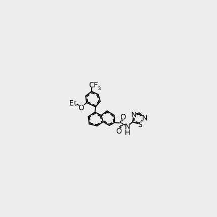 CCOc1cc(C(F)(F)F)ccc1-c1cccc2cc(S(=O)(=O)Nc3ncns3)ccc12